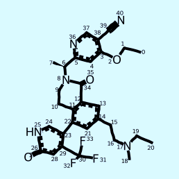 CCOc1cc([C@H](C)N2CCc3c(cc(CCN(C)CC)cc3-c3c[nH]c(=O)cc3C(F)(F)F)C2=O)ncc1C#N